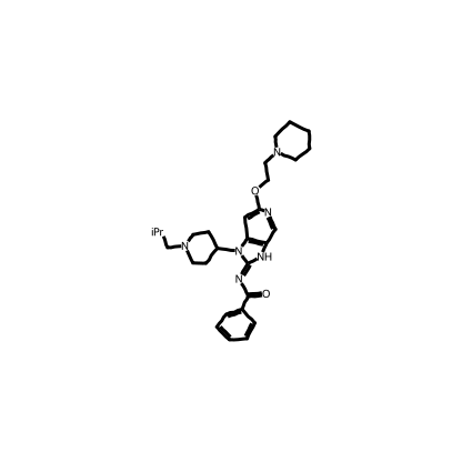 CC(C)CN1CCC(n2/c(=N/C(=O)c3ccccc3)[nH]c3cnc(OCCN4CCCCC4)cc32)CC1